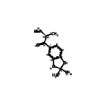 BC1(B)Oc2ccc(C(=O)[C@@H](C)NC)cc2O1